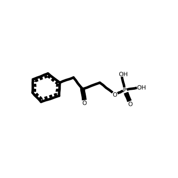 O=C(COP(=O)(O)O)Cc1ccccc1